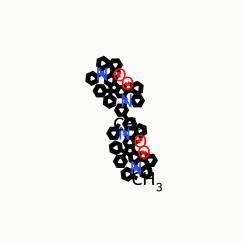 Cc1ccccc1N(c1ccccc1)c1cc2c(c3oc4ccccc4c13)-c1c(cc(N(c3cccc(-c4cccc(N(c5ccccc5)c5cc6c(c7oc8ccccc8c57)-c5c(cc(N(c7ccccc7)c7ccccc7)c7c5oc5ccccc57)C6(c5ccccc5)c5ccccc5)c4)c3)c3ccccc3C)c3c1oc1ccccc13)C2(c1ccccc1)c1ccccc1